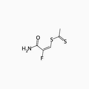 CC(=S)S/C=C(/F)C(N)=O